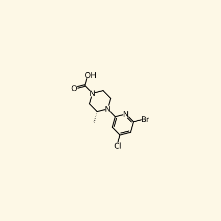 C[C@@H]1CN(C(=O)O)CCN1c1cc(Cl)cc(Br)n1